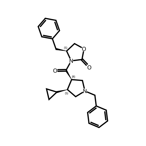 O=C1OC[C@H](Cc2ccccc2)N1C(=O)[C@H]1CN(Cc2ccccc2)C[C@H]1C1CC1